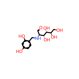 O=C[C@H](NCc1ccc(O)cc1O)[C@@H](O)[C@H](O)[C@H](O)CO